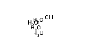 Cl.O.O.O.O